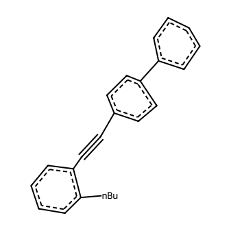 CCCCc1ccccc1C#Cc1ccc(-c2ccccc2)cc1